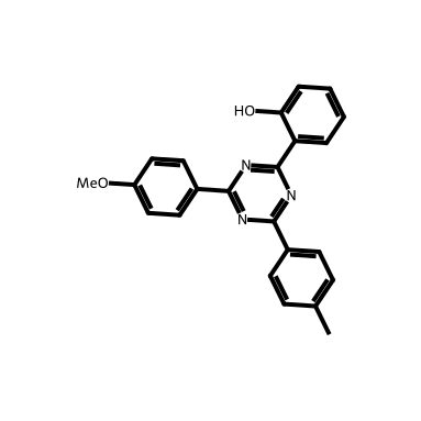 COc1ccc(-c2nc(-c3ccc(C)cc3)nc(-c3ccccc3O)n2)cc1